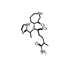 CC(C[CH]C(=O)N(C(C)c1ncc[nH]1)[C@H]1CCCNCC1=O)C(N)=O